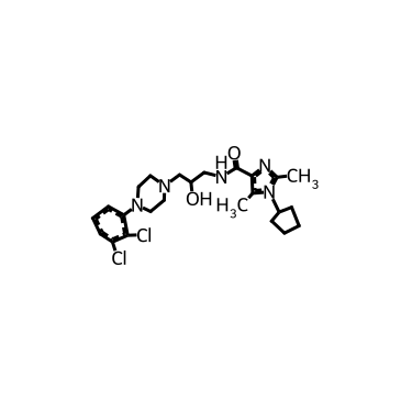 Cc1nc(C(=O)NCC(O)CN2CCN(c3cccc(Cl)c3Cl)CC2)c(C)n1C1CCCC1